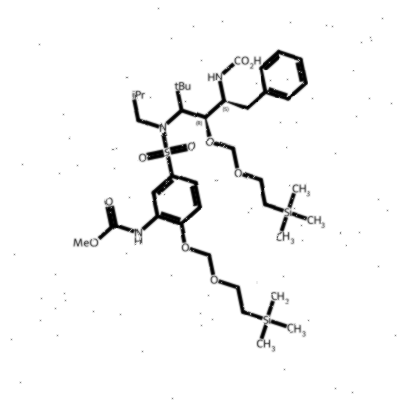 COC(=O)Nc1cc(S(=O)(=O)N(CC(C)C)C([C@H](OCOCC[Si](C)(C)C)[C@H](Cc2ccccc2)NC(=O)O)C(C)(C)C)ccc1OCOCC[Si](C)(C)C